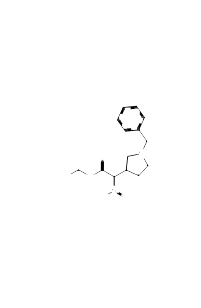 CCOC(=O)C(C1CCN(Cc2ccccc2)C1)[N+](=O)[O-]